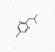 [CH2]C(C)Cc1ncc(F)cn1